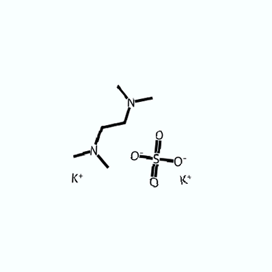 CN(C)CCN(C)C.O=S(=O)([O-])[O-].[K+].[K+]